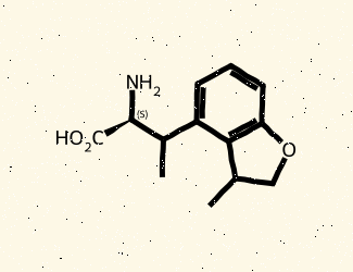 CC1COc2cccc(C(C)[C@H](N)C(=O)O)c21